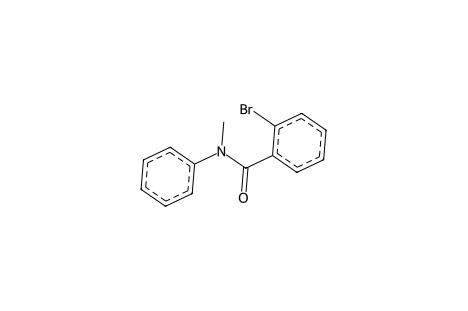 CN(C(=O)c1ccccc1Br)c1ccccc1